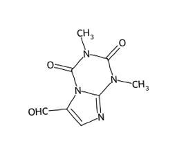 Cn1c(=O)n(C)c2ncc(C=O)n2c1=O